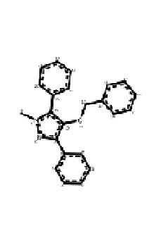 Cn1nc(-c2ccccc2)c(OCc2ccccc2)c1-c1ccccc1